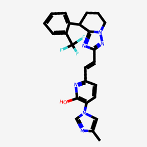 Cc1cn(-c2ccc(C=Cc3nc4n(n3)CCCC4c3ccccc3C(F)(F)F)nc2O)cn1